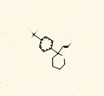 FC(F)(F)c1ccc(C2(C=CBr)CCCC[Se]2)cc1